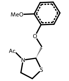 COc1ccccc1OC[C@@H]1SCCN1C(C)=O